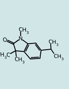 CC(C)c1ccc2c(c1)N(C)C(=O)C2(C)C